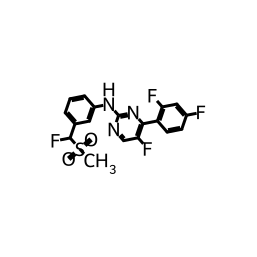 CS(=O)(=O)C(F)c1cccc(Nc2ncc(F)c(-c3ccc(F)cc3F)n2)c1